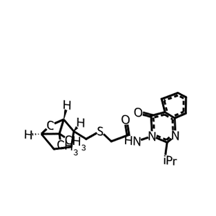 CC(C)c1nc2ccccc2c(=O)n1NC(=O)CSC[C@@H]1CC[C@H]2C[C@H]1C2(C)C